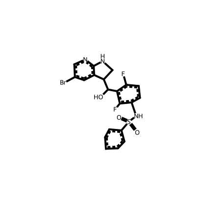 O=S(=O)(Nc1ccc(F)c(C(O)C2CNc3ncc(Br)cc32)c1F)c1ccccc1